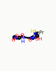 CCCc1c(S)n(C)c2c(N3CCN(C(=O)CCCCCNC(=O)C4CCC(CN5C(=O)C=CC5=O)CC4)CC3)c(O)ccc12